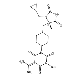 CCCCN1C(=O)C(=C(N)N)C(=O)N(C2CCC(C[C@@]3(C)C(=O)NC(=O)N3CC3CC3)CC2)C1=O